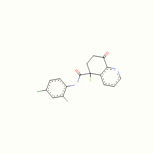 O=C1CCC(F)(C(=O)Nc2ccc(Cl)cc2Cl)c2cccnc21